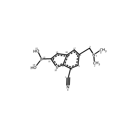 CN(C)Cc1cc(C#N)c2sc(B(O)O)cc2c1